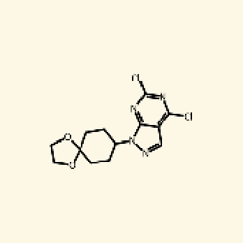 Clc1nc(Cl)c2cnn(C3CCC4(CC3)OCCO4)c2n1